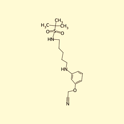 CC(C)(C)S(=O)(=O)NCCCCCNc1cccc(OCC#N)c1